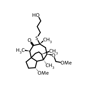 COCO[C@@H]1C[C@@](C)(SCCCO)C(=O)[C@H](C)C23CC[C@@H](C)[C@]1(C)C2[C@H](OC)CC3